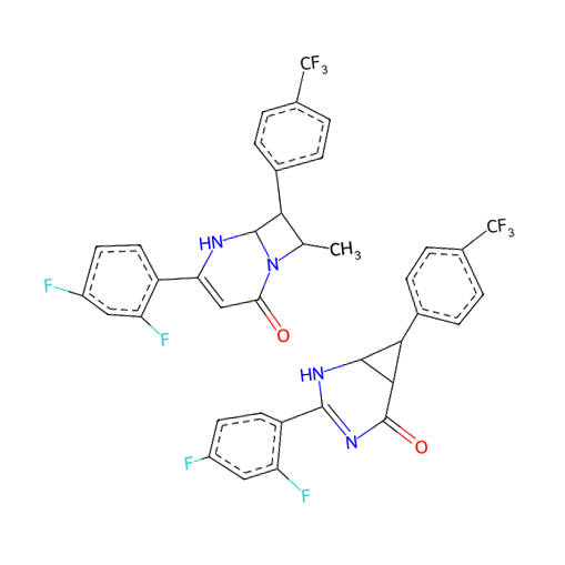 CC1C(c2ccc(C(F)(F)F)cc2)C2NC(c3ccc(F)cc3F)=CC(=O)N12.O=C1N=C(c2ccc(F)cc2F)NC2C1C2c1ccc(C(F)(F)F)cc1